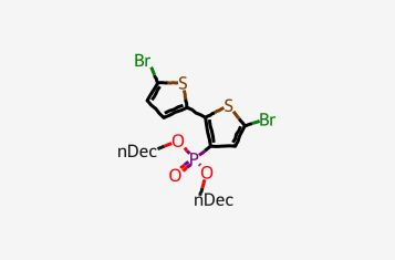 CCCCCCCCCCOP(=O)(OCCCCCCCCCC)c1cc(Br)sc1-c1ccc(Br)s1